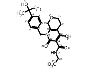 CC(C)(O)c1ccc(Cn2c3c(c(O)c(C(=O)NCC(=O)O)c2=O)CCOC3)cc1